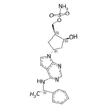 C[C@H](Nc1ncnc2c1ccn2[C@@H]1C[C@@H](COS(N)(=O)=O)[C@@H](O)C1)c1ccccc1